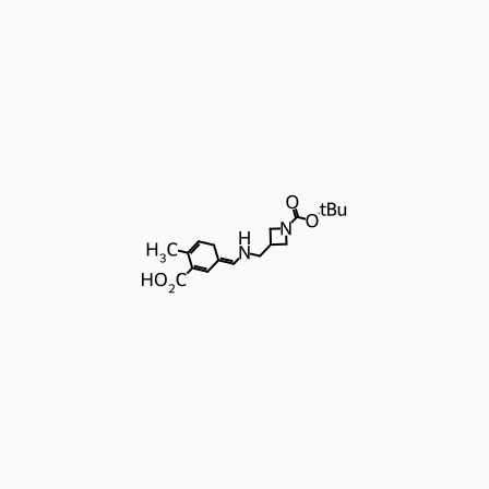 CC1=CC/C(=C\NCC2CN(C(=O)OC(C)(C)C)C2)C=C1C(=O)O